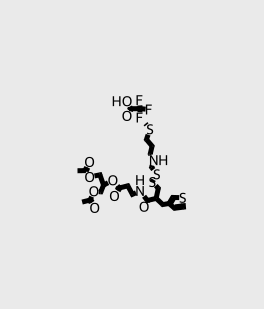 CSCCCNCSSCC(Cc1ccsc1)C(=O)NCCC(=O)OC(COC(C)=O)COC(C)=O.O=C(O)C(F)(F)F